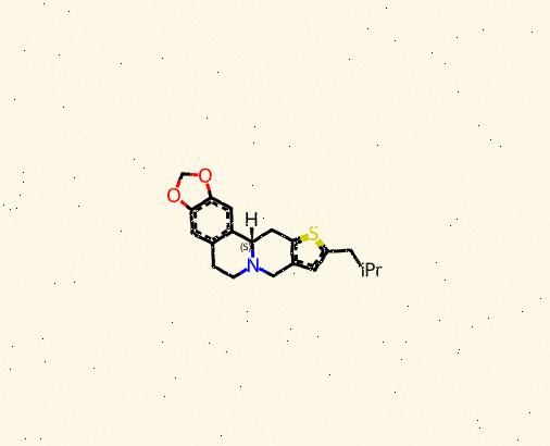 CC(C)Cc1cc2c(s1)C[C@H]1c3cc4c(cc3CCN1C2)OCO4